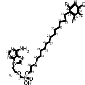 C[C@H](Cn1cnc2c(N)ncnc21)OCP(=O)(O)OCCSCCCCCCCCCCCCCc1c(F)c(F)c(F)c(F)c1F